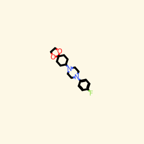 Fc1ccc(N2CCN(C3CCC4(CC3)OCCO4)CC2)cc1